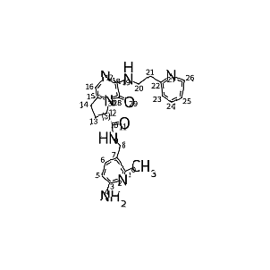 Cc1nc(N)ccc1CNC(=O)[C@@H]1CCc2cnc(NCCc3ccccn3)c(=O)n21